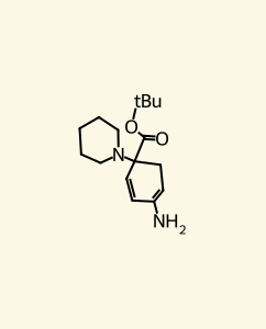 CC(C)(C)OC(=O)C1(N2CCCCC2)C=CC(N)=CC1